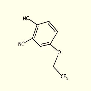 N#Cc1ccc(OCC(F)(F)F)cc1C#N